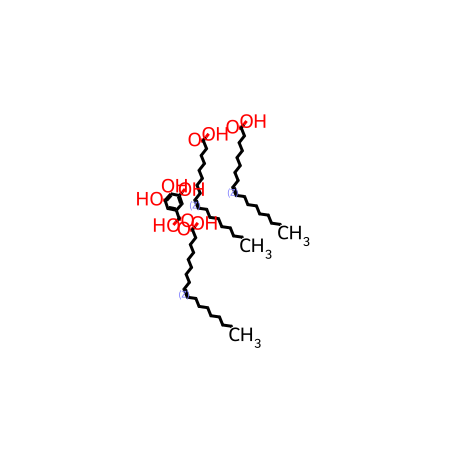 CCCCCCCC/C=C\CCCCCCCC(=O)O.CCCCCCCC/C=C\CCCCCCCC(=O)O.CCCCCCCC/C=C\CCCCCCCC(=O)O.O=C(O)c1cc(O)c(O)c(O)c1